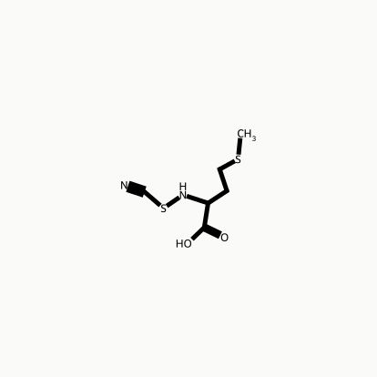 CSCCC(NSC#N)C(=O)O